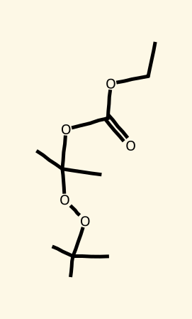 CCOC(=O)OC(C)(C)OOC(C)(C)C